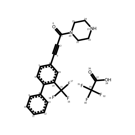 O=C(C#Cc1ccc(-c2ccccc2)c(C(F)(F)F)c1)N1CCNCC1.O=C(O)C(F)(F)F